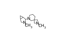 CN1CC2(CCCN(C3C4CC4CN3C)C2)C1